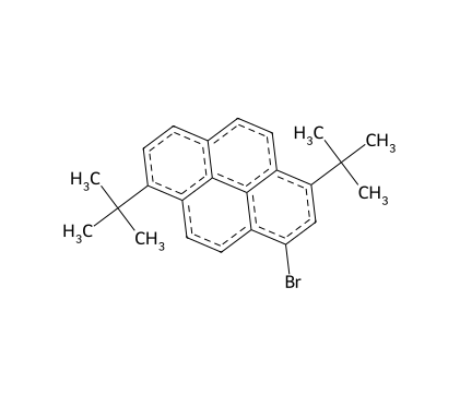 CC(C)(C)c1ccc2ccc3c(C(C)(C)C)cc(Br)c4ccc1c2c43